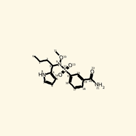 CCCC(c1ccc[nH]1)N(OC)S(=O)(=O)c1cccc(C(N)=O)c1